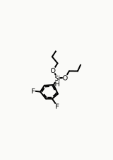 CCCO[SiH](OCCC)c1cc(F)cc(F)c1